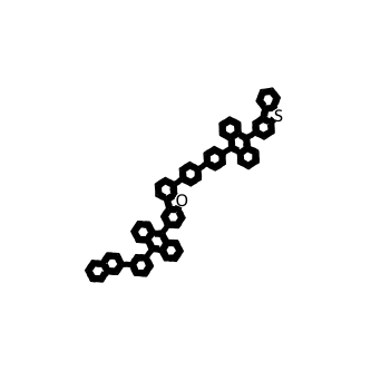 c1cc(-c2ccc3ccccc3c2)cc(-c2c3ccccc3c(-c3ccc4oc5c(-c6ccc(-c7ccc(-c8c9ccccc9c(-c9ccc%10sc%11ccccc%11c%10c9)c9ccccc89)cc7)cc6)cccc5c4c3)c3ccccc23)c1